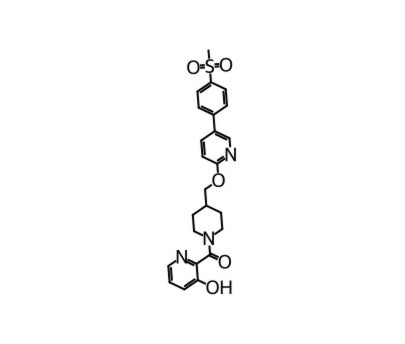 CS(=O)(=O)c1ccc(-c2ccc(OCC3CCN(C(=O)c4ncccc4O)CC3)nc2)cc1